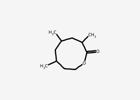 CC1CCOC(=O)C(C)CC(C)C1